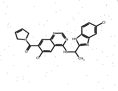 CC(Nc1ncnc2cc(C(=O)N3CC=CC3)c(Cl)cc12)c1nc2cc(Cl)ccc2[nH]1